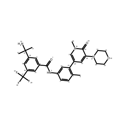 Cc1ccc(NC(=O)c2cc(C(C)(C)N)cc(C(F)(F)F)c2)cc1-c1cc(N2CCOCC2)c(=O)n(C)c1